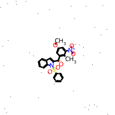 COc1cc(C(=O)c2cc3ccccc3n2S(=O)(=O)c2ccccc2)c(C)c([N+](=O)[O-])c1